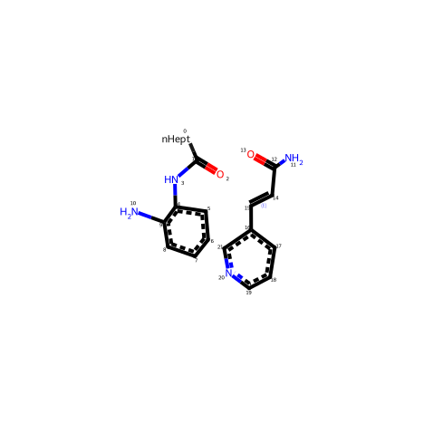 CCCCCCCC(=O)Nc1ccccc1N.NC(=O)/C=C/c1cccnc1